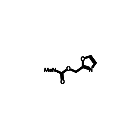 CNC(=O)OCc1ncco1